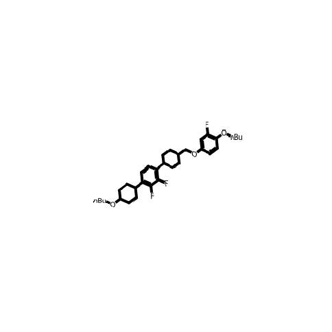 CCCCOc1ccc(OCC2CCC(c3ccc(C4CCC(OCCCC)CC4)c(F)c3F)CC2)cc1F